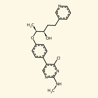 CNc1ncc(-c2ccc(O[C@@H](C)[C@H](O)CCc3cccnc3)cc2)c(Cl)n1